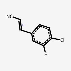 N#C/C=C/c1ccc(Cl)c(F)c1